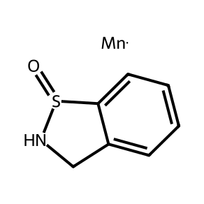 O=S1NCc2ccccc21.[Mn]